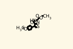 CCOC(=O)c1nc2scc(-c3ccc(OC)cc3)c2c(=O)[nH]1